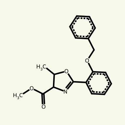 COC(=O)C1N=C(c2ccccc2OCc2ccccc2)OC1C